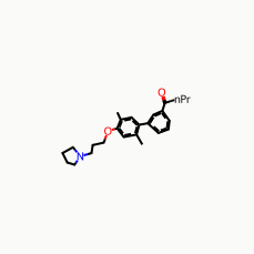 CCCC(=O)c1cccc(-c2cc(C)c(OCCCN3CCCC3)cc2C)c1